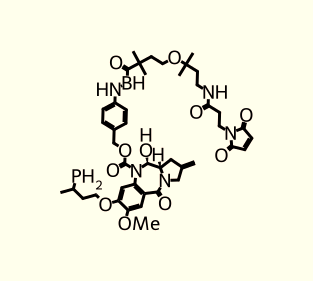 C=C1C[C@H]2[C@H](O)N(C(=O)OCc3ccc(NBC(=O)C(C)(C)CCOC(C)(C)CCNC(=O)CCN4C(=O)C=CC4=O)cc3)c3cc(OCCC(C)P)c(OC)cc3C(=O)N2C1